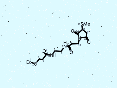 CCOCCC(=O)NCCNC(=O)CCN1C(=O)CC(SC)C1=O